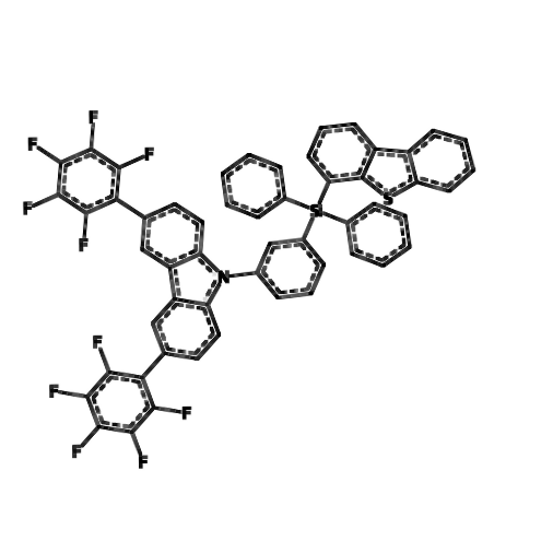 Fc1c(F)c(F)c(-c2ccc3c(c2)c2cc(-c4c(F)c(F)c(F)c(F)c4F)ccc2n3-c2cccc([Si](c3ccccc3)(c3ccccc3)c3cccc4c3sc3ccccc34)c2)c(F)c1F